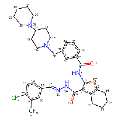 O=C(Nc1sc2c(c1C(=O)NN=Cc1ccc(Cl)c(C(F)(F)F)c1)CCCC2)c1cccc(CN2CCC(N3CCCCC3)CC2)c1